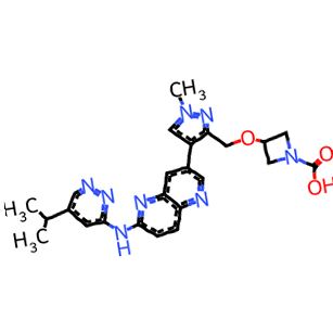 CC(C)c1cnnc(Nc2ccc3ncc(-c4cn(C)nc4COC4CN(C(=O)O)C4)cc3n2)c1